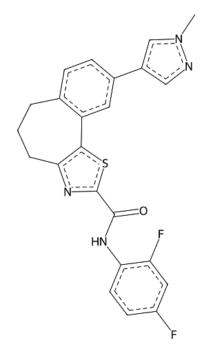 Cn1cc(-c2ccc3c(c2)-c2sc(C(=O)Nc4ccc(F)cc4F)nc2CCC3)cn1